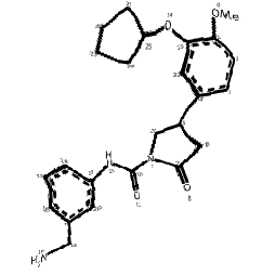 COc1ccc(C2CC(=O)N(C(=O)Nc3cccc(CN)c3)C2)cc1OC1CCCC1